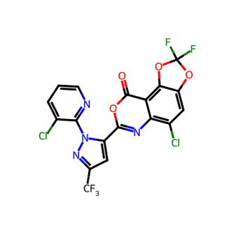 O=c1oc(-c2cc(C(F)(F)F)nn2-c2ncccc2Cl)nc2c(Cl)cc3c(c12)OC(F)(F)O3